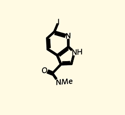 CNC(=O)c1c[nH]c2nc(I)ccc12